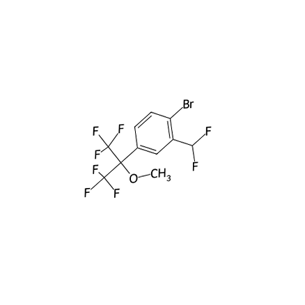 COC(c1ccc(Br)c(C(F)F)c1)(C(F)(F)F)C(F)(F)F